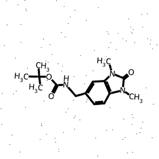 Cn1c(=O)n(C)c2cc(CNC(=O)OC(C)(C)C)ccc21